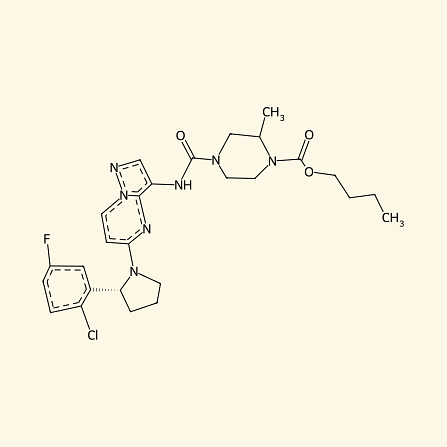 CCCCOC(=O)N1CCN(C(=O)Nc2cnn3ccc(N4CCC[C@@H]4c4cc(F)ccc4Cl)nc23)CC1C